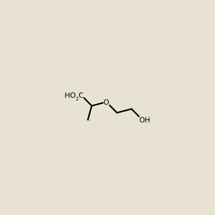 [CH2]C(OCCO)C(=O)O